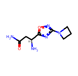 NC(=O)C[C@H](N)c1nc(N2CCC2)no1